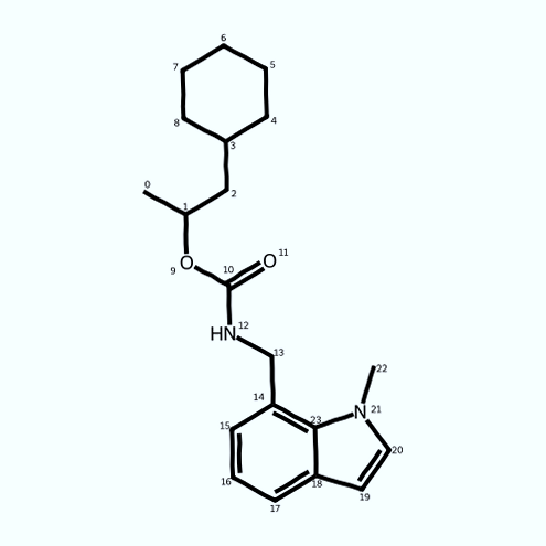 CC(CC1CCCCC1)OC(=O)NCc1cccc2ccn(C)c12